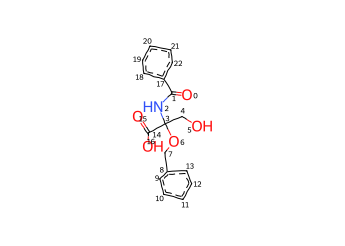 O=C(NC(CO)(OCc1ccccc1)C(=O)O)c1ccccc1